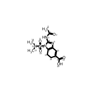 CC(=O)Nc1nc2c(n1S(=O)(=O)N(C)C)CCC(C(=O)O)=C2